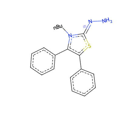 CCCCn1c(-c2ccccc2)c(-c2ccccc2)s/c1=N\N